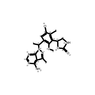 COc1c(C(C)n2nc(C)c3c(N)ncnc32)cc(Cl)c(C)c1C1CNC(=O)O1